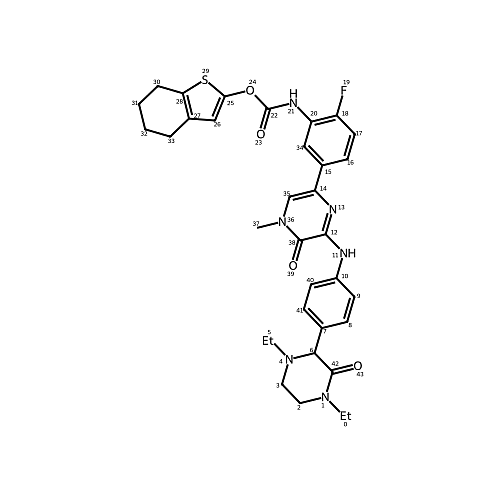 CCN1CCN(CC)C(c2ccc(Nc3nc(-c4ccc(F)c(NC(=O)Oc5cc6c(s5)CCCC6)c4)cn(C)c3=O)cc2)C1=O